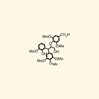 COc1cccc(C(c2cc(OC)c(OC(C)C)c(OC)c2)C(CO)Oc2c(OC)cc(C(=O)O)cc2OC)c1O